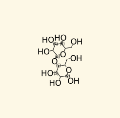 OCC1O[C@@H](O)C(O)[C@H](O)[C@@H]1O[C@@H]1OC(CO)[C@H](O)[C@@H](O)C1O